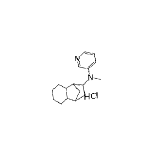 CN(c1cccnc1)C1CC2CC1C1CCCCC21.Cl